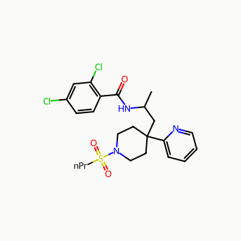 CCCS(=O)(=O)N1CCC(CC(C)NC(=O)c2ccc(Cl)cc2Cl)(c2ccccn2)CC1